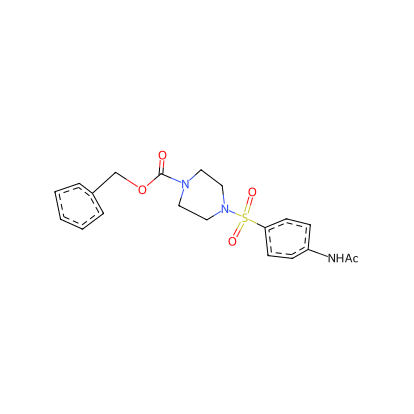 CC(=O)Nc1ccc(S(=O)(=O)N2CCN(C(=O)OCc3ccccc3)CC2)cc1